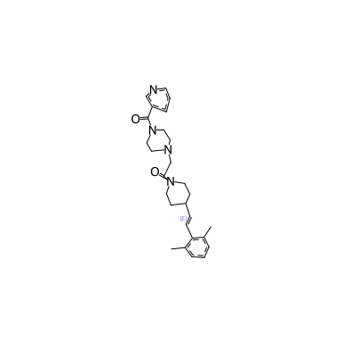 Cc1cccc(C)c1/C=C/C1CCN(C(=O)CN2CCN(C(=O)c3cccnc3)CC2)CC1